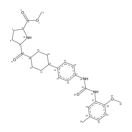 COC(=O)C1CCC(C(=O)C2CCC(c3ccc(NC(=O)Nc4cc(C)ccc4OC)cc3)CC2)N1